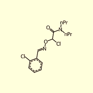 CCCN(CCC)C(=O)C(Cl)ON=Cc1ccccc1Cl